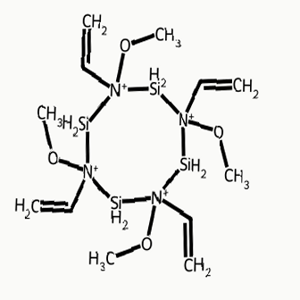 C=C[N+]1(OC)[SiH2][N+](C=C)(OC)[SiH2][N+](C=C)(OC)[SiH2][N+](C=C)(OC)[SiH2]1